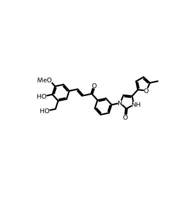 COc1cc(/C=C/C(=O)c2cccc(-n3cc(-c4ccc(C)o4)[nH]c3=O)c2)cc(CO)c1O